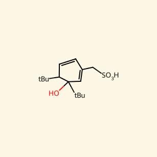 CC(C)(C)C1C=CC(CS(=O)(=O)O)=CC1(O)C(C)(C)C